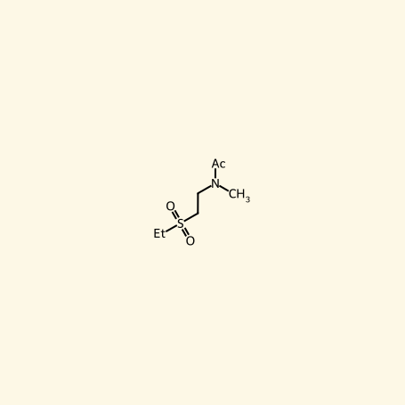 CCS(=O)(=O)CCN(C)C(C)=O